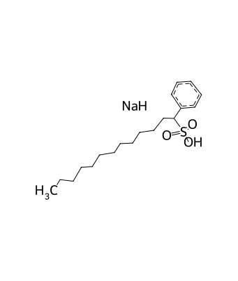 CCCCCCCCCCCCC(c1ccccc1)S(=O)(=O)O.[NaH]